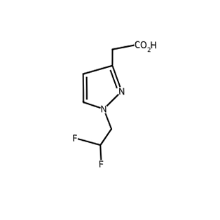 O=C(O)Cc1ccn(CC(F)F)n1